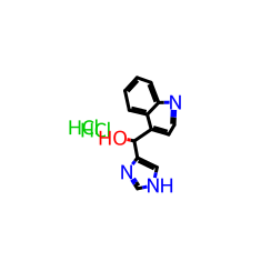 Cl.Cl.OC(c1c[nH]cn1)c1ccnc2ccccc12